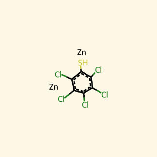 Sc1c(Cl)c(Cl)c(Cl)c(Cl)c1Cl.[Zn].[Zn]